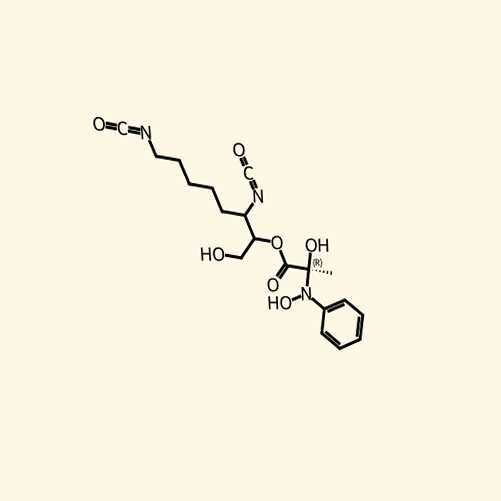 C[C@@](O)(C(=O)OC(CO)C(CCCCCN=C=O)N=C=O)N(O)c1ccccc1